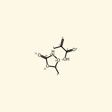 C=C(C)C(=O)O.CC1ONC(=O)O1